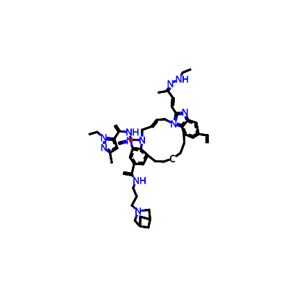 C=Cc1cc2c3c(c1)nc(/C=C/C(C)=N\NCC)n3C/C=C/CN(CNC(=C)c1cc(C)nn1CC)c1c(cc(C(=C)NCCCN3CC4CC(C4)C3)cc1N=C)CCCCC2